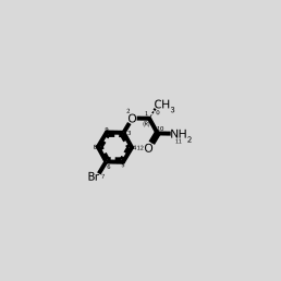 C[C@@H](Oc1ccc(Br)cc1)C(N)=O